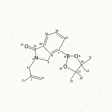 C=C(C)CN1Cc2c(B3OC(C)(C)C(C)(C)O3)cccc2C1=O